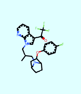 CC(CN1C2CCC1C(Oc1ccc(F)cc1)C2)Cn1cc(C(=O)C(F)(F)F)c2cccnc21